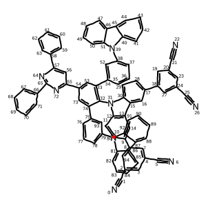 N#Cc1cc(C#N)cc(-c2ccc3c(c2)c2cc(-c4cc(C#N)cc(C#N)c4)ccc2n3-c2c(-c3cccc(-n4c5ccccc5c5ccccc54)c3)cc(-c3cc(-c4ccccc4)nc(-c4ccccc4)n3)cc2-c2cccc(-n3c4ccccc4c4ccccc43)c2)c1